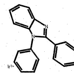 [Ir+3].c1ccc(-c2nc3ccccc3n2-c2ccccc2)cc1